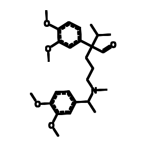 COc1ccc(C(C)N(C)CCCC(C=O)(c2ccc(OC)c(OC)c2)C(C)C)cc1OC